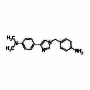 CN(C)c1ccc(-c2cn(Cc3ccc(N)cc3)cn2)cc1